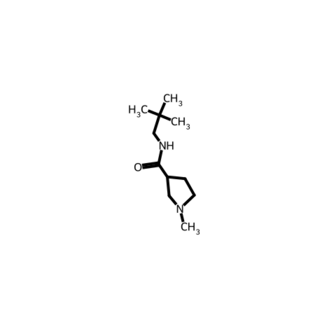 CN1CCC(C(=O)NCC(C)(C)C)C1